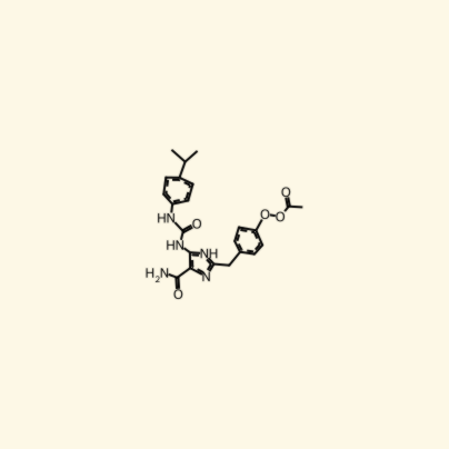 CC(=O)OOc1ccc(Cc2nc(C(N)=O)c(NC(=O)Nc3ccc(C(C)C)cc3)[nH]2)cc1